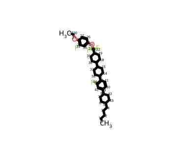 CCCCCC1CCC(c2ccc(C3CCC(C4CCC(C(F)(F)Oc5ccc(OCC)c(F)c5)CC4)CC3)c(F)c2)CC1